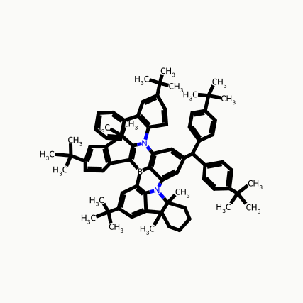 CC(C)(C)c1ccc(C(c2ccc(C(C)(C)C)cc2)c2cc3c4c(c2)N2c5c(cc(C(C)(C)C)cc5C5(C)CCCCC25C)B4C2=C(N3c3ccc(C(C)(C)C)cc3-c3ccccc3)C(C)(C)c3cc(C(C)(C)C)ccc32)cc1